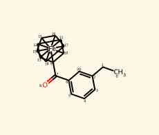 CCc1cccc(C(=O)[C]23[CH]4[CH]5[CH]6[CH]2[Fe]56432789[CH]3[CH]2[CH]7[CH]8[CH]39)c1